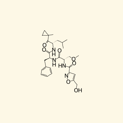 COC[C@H](NC(=O)c1cc(CO)on1)C(=O)N[C@@H](Cc1ccccc1)C(=O)N[C@@H](CC(C)C)C(=O)C1(C)CC1